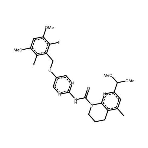 COc1cc(OC)c(F)c(COc2cnc(NC(=O)N3CCCc4c(C)cc(C(OC)OC)nc43)nc2)c1F